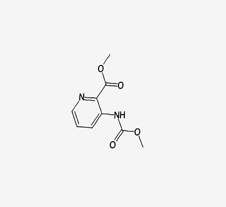 COC(=O)Nc1cccnc1C(=O)OC